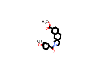 COC(=O)c1ccc2c(c1)CC1(CC2)CCN(C(=O)c2ccc(OC)cc2)C1